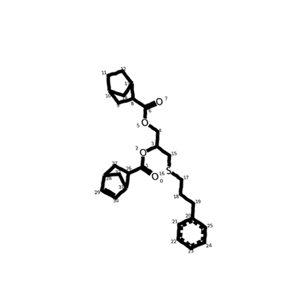 O=C(OC(COC(=O)C1CC2CCC1C2)CSCCCc1ccccc1)C1CC2C=CC1C2